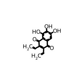 C=CC1=C(C=C)C(=O)c2c(cc(O)c(O)c2O)C1=O